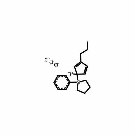 CCCC1=C[C]([Ti+3])([Si]2(c3ccccc3)CCCC2)C=C1.[Cl-].[Cl-].[Cl-]